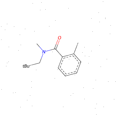 Cc1ccccc1C(=O)N(C)CC(C)(C)C